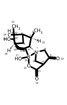 C[C@@H]1C2C[C@@H](CC1[N@+]13CC(=O)C(C1)C(=O)O[B-]3(O)/C=C/CO)C2(C)C